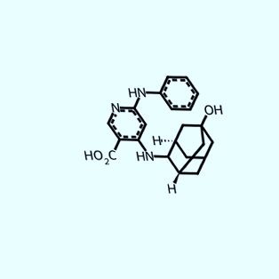 O=C(O)c1cnc(Nc2ccccc2)cc1NC1[C@@H]2CC3C[C@H]1CC(O)(C3)C2